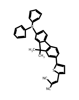 CC1(C)c2cc(-c3ccc(C=C(C#N)C#N)s3)ccc2-c2ccc(N(c3ccccc3)c3ccccc3)cc21